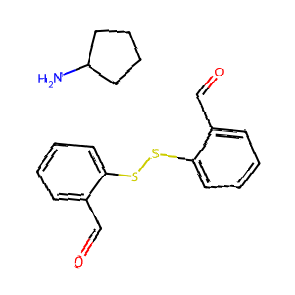 NC1CCCC1.O=Cc1ccccc1SSc1ccccc1C=O